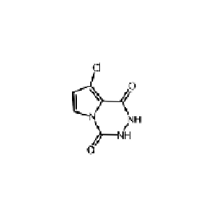 O=c1[nH][nH]c(=O)n2ccc(Cl)c12